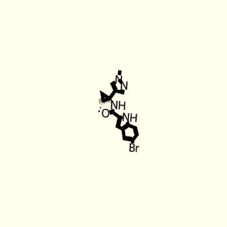 C[C@@H]1C[C@@]1(NC(=O)c1cc2cc(Br)ccc2[nH]1)c1cnn(C)c1